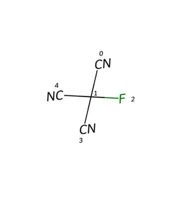 N#CC(F)(C#N)C#N